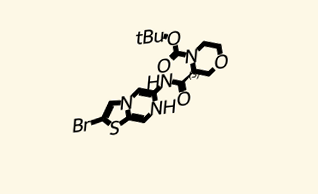 CC(C)(C)OC(=O)N1CCOC[C@H]1C(=O)NC1=CN2C=C(Br)SC2=CN1